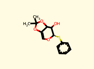 CC1(C)OC2=CO[C@H](Sc3ccccc3)C(O)C2O1